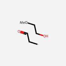 COCCO.[CH2]CC=O